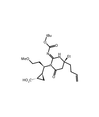 C=CCC[C@]1(CC)CC(=O)N([C@H](CCOC)[C@H]2C[C@@H]2C(=O)O)/C(=N/C(=O)OC(C)(C)C)N1